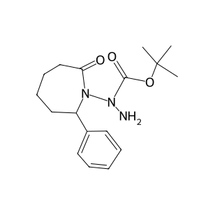 CC(C)(C)OC(=O)N(N)N1C(=O)CCCCC1c1ccccc1